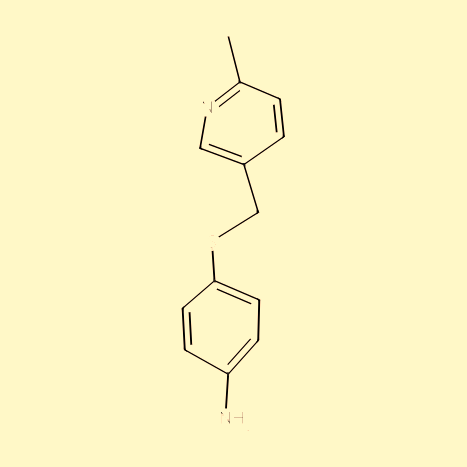 Cc1ccc(CSc2ccc(N)cc2)cn1